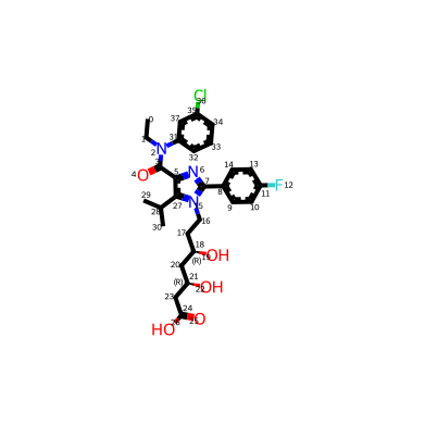 CCN(C(=O)c1nc(-c2ccc(F)cc2)n(CC[C@@H](O)C[C@@H](O)CC(=O)O)c1C(C)C)c1cccc(Cl)c1